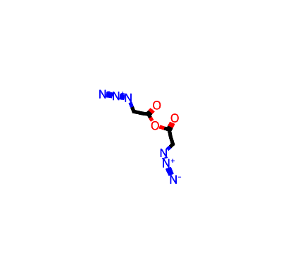 [N-]=[N+]=NCC(=O)OC(=O)CN=[N+]=[N-]